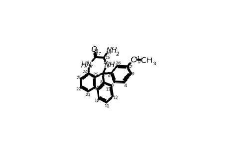 COc1cccc(C2(c3ccccc3)NC(N)C(=O)Nc3ccccc32)c1